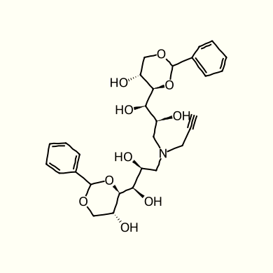 C#CCN(C[C@H](O)[C@@H](O)[C@@H]1OC(c2ccccc2)OC[C@H]1O)C[C@H](O)[C@@H](O)[C@@H]1OC(c2ccccc2)OC[C@H]1O